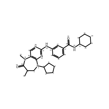 CC1CN(C2CCCC2)c2nc(Nc3cccc(C(=O)NC4CCCCC4)c3)ncc2N(C)C1=O